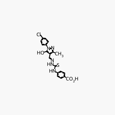 Cc1nn(-c2ccc(Cl)cc2)c(O)c1/C=N/NC(=S)Nc1ccc(C(=O)O)cc1